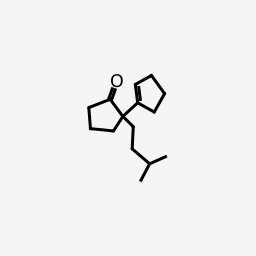 CC(C)CCC1(C2=CCCC2)CCCC1=O